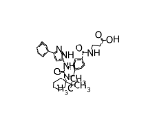 CC(C)(C)C1(N(Cc2ccc(C(=O)NCCC(=O)O)cc2)C(=O)Nc2cc(-c3ccccc3)n[nH]2)CCCCC1